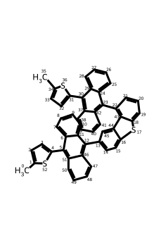 Cc1ccc(-c2c3ccccc3c(-c3ccc4sc5cccc(-c6c7ccccc7c(-c7ccc(C)s7)c7ccccc67)c5c4c3)c3ccccc23)s1